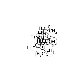 COC(Oc1c(C(C)(C)C)cc(C(C)(C)C)cc1C(C)(C)C)Oc1c(C(C)(C)C)cc(C(C)(C)C)cc1C(C)(C)C